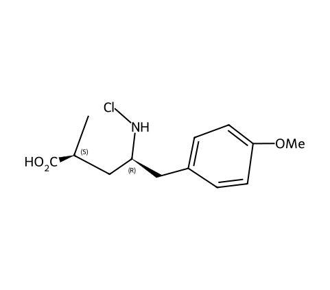 COc1ccc(C[C@@H](C[C@H](C)C(=O)O)NCl)cc1